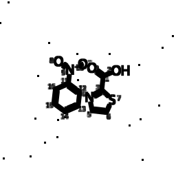 O=C(O)c1nccs1.O=[N+]([O-])c1ccccc1